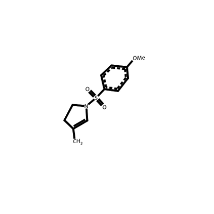 COc1ccc(S(=O)(=O)N2C=C(C)CC2)cc1